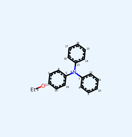 CC[O].c1ccc(N(c2ccccc2)c2ccccc2)cc1